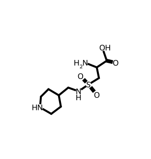 NC(CS(=O)(=O)NCC1CCNCC1)C(=O)O